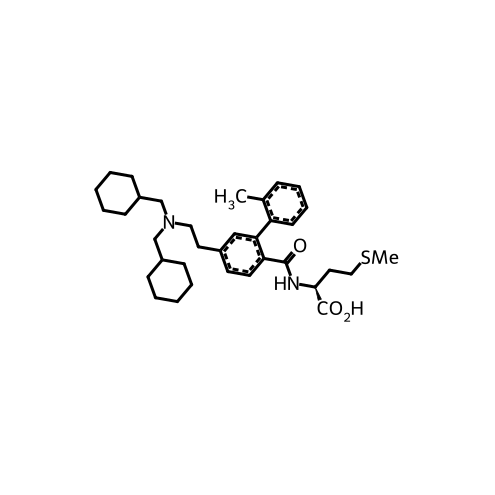 CSCC[C@H](NC(=O)c1ccc(CCN(CC2CCCCC2)CC2CCCCC2)cc1-c1ccccc1C)C(=O)O